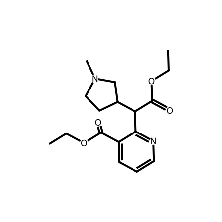 CCOC(=O)c1cccnc1C(C(=O)OCC)C1CCN(C)C1